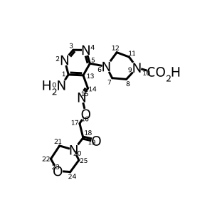 Nc1ncnc(N2CCN(C(=O)O)CC2)c1C=NOCC(=O)N1CCOCC1